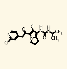 CC(NC(=O)Nc1c(Cl)c(C(=O)Cc2ccnc(Cl)c2)n2c1CCC2)C(F)(F)F